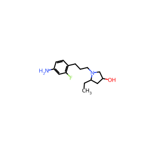 CCC1CC(O)CN1CCCc1ccc(N)cc1F